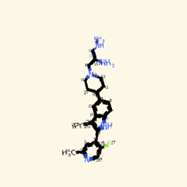 Cc1cc(-c2[nH]c3ccc(C4CCN(C/C(N)=C/NN)CC4)cc3c2C(C)C)c(F)cn1